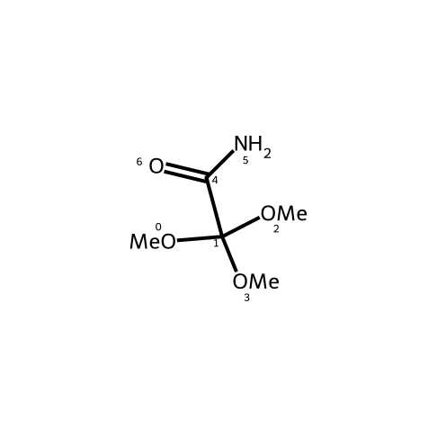 COC(OC)(OC)C(N)=O